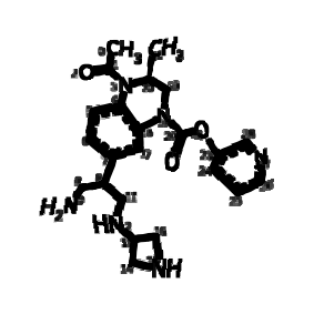 CC(=O)N1c2ccc(C(CN)CNC3CNC3)cc2N(C(=O)Oc2cccnc2)C[C@@H]1C